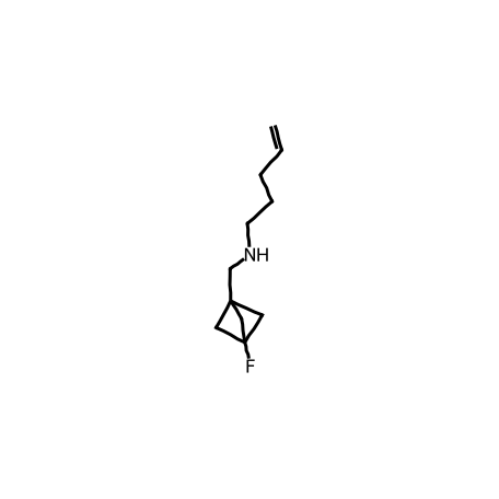 C=CCCCNCC12CC(F)(C1)C2